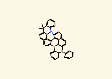 CC1(C)c2ccccc2N(c2ccccc2-c2ccccc2B2c3ccccc3B(c3ccccc3)c3ccccc32)c2ccccc21